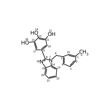 Cc1cccc(Cn2c(-c3cc(O)c(O)c(O)c3)nc3ccccc32)c1